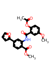 COC(=O)c1ccc(-c2ccco2)cc1NC(=O)c1cc(OC)ccc1OC(C)=O